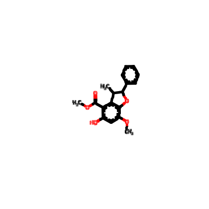 COC(=O)c1c(O)cc(OC)c2c1C(C)C(c1ccccc1)O2